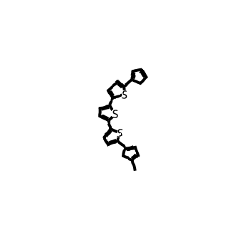 CC1=CC=C(c2ccc(-c3ccc(-c4ccc(C5=CC=CC5)s4)s3)s2)C1